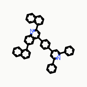 c1ccc(-c2cc(-c3ccc(-c4cc(-c5cccc6ccccc56)nc5ccc(-c6cccc7ccccc67)cc45)cc3)cc(-c3ccccc3)n2)cc1